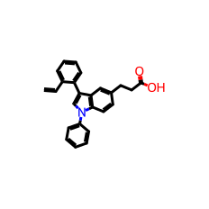 C=Cc1ccccc1-c1cn(-c2ccccc2)c2ccc(CCC(=O)O)cc12